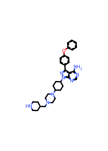 Nc1ncnc2c1c(-c1ccc(Oc3ccccc3)cc1)nn2C1CCC(N2CCN(CC3CCNCC3)CC2)CC1